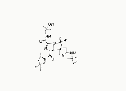 CC1CC(F)(F)CN1C(=O)c1nc(C(=O)NCC(C)(C)O)sc1-c1cnc(NC2(C)CCC2)cc1C(F)(F)F